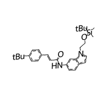 CC(C)(C)c1ccc(C=CC(=O)Nc2ccc3ccn(CCO[Si](C)(C)C(C)(C)C)c3c2)cc1